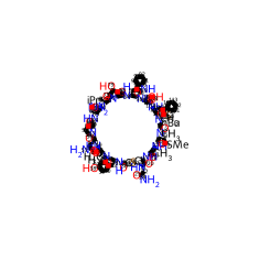 CCCC[C@H]1C(=O)N(C)[C@@H](CCSC)C(=O)N[C@@H](C)C(=O)NC(C(=O)NCC(N)=O)CSCC(=O)N[C@@H](Cc2ccc(O)cc2)C(=O)N(C)[C@@H](C)C(=O)N[C@@H](CC(N)=O)C(=O)N2CCC[C@H]2C(=O)N[C@@H](CN)C(=O)N[C@@H](CC(C)C)C(=O)N2C[C@H](O)C[C@H]2C(=O)N[C@@H](Cc2c[nH]c3ccccc23)C(=O)N[C@@H](CO)C(=O)N[C@@H](Cc2csc3ccccc23)C(=O)N1C